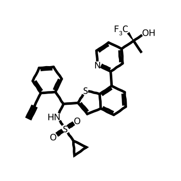 C#Cc1ccccc1C(NS(=O)(=O)C1CC1)c1cc2cccc(-c3cc([C@@](C)(O)C(F)(F)F)ccn3)c2s1